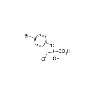 O=C(O)C(O)(CCl)Oc1ccc(Br)cc1